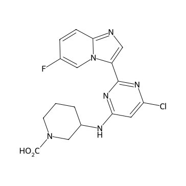 O=C(O)N1CCCC(Nc2cc(Cl)nc(-c3cnc4ccc(F)cn34)n2)C1